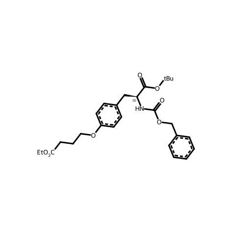 CCOC(=O)CCCOc1ccc(C[C@H](NC(=O)OCc2ccccc2)C(=O)OC(C)(C)C)cc1